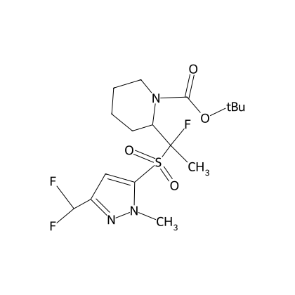 Cn1nc(C(F)F)cc1S(=O)(=O)C(C)(F)C1CCCCN1C(=O)OC(C)(C)C